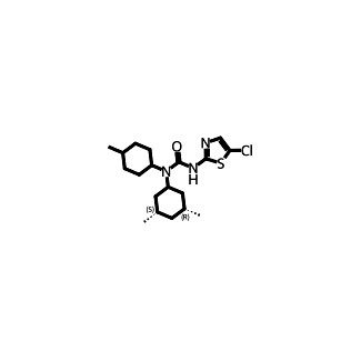 CC1CCC(N(C(=O)Nc2ncc(Cl)s2)C2C[C@@H](C)C[C@@H](C)C2)CC1